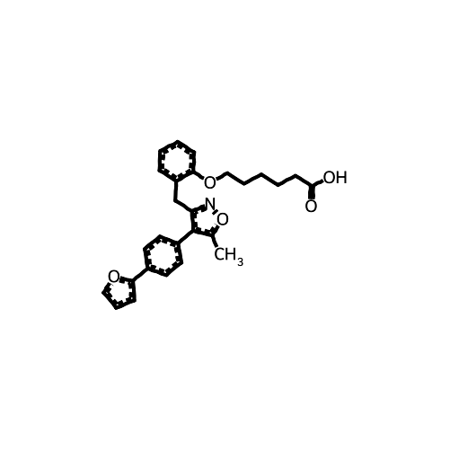 Cc1onc(Cc2ccccc2OCCCCCC(=O)O)c1-c1ccc(-c2ccco2)cc1